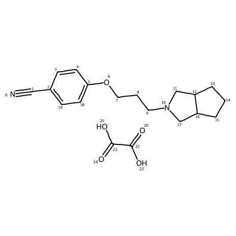 N#Cc1ccc(OCCCN2CC3CCCC3C2)cc1.O=C(O)C(=O)O